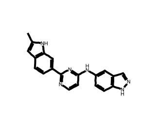 Cc1cc2ccc(-c3nccc(Nc4ccc5[nH]ncc5c4)n3)cc2[nH]1